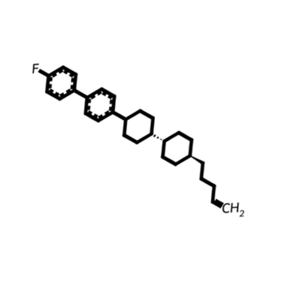 C=CCCC[C@H]1CC[C@H](C2CCC(c3ccc(-c4ccc(F)cc4)cc3)CC2)CC1